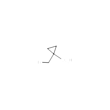 O=C(O)C1(CBr)CC1